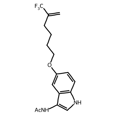 C=C(CCCCOc1ccc2[nH]cc(NC(C)=O)c2c1)C(F)(F)F